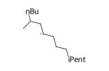 CCCCC(C)C[CH]CCCC(C)CCC